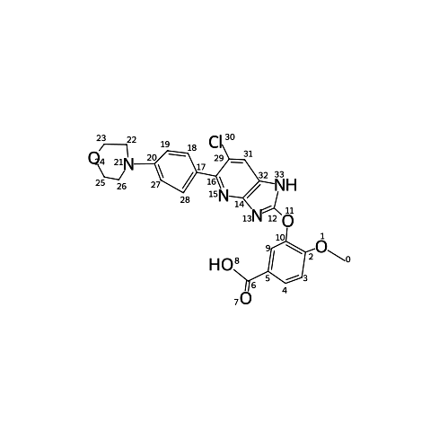 COc1ccc(C(=O)O)cc1Oc1nc2nc(-c3ccc(N4CCOCC4)cc3)c(Cl)cc2[nH]1